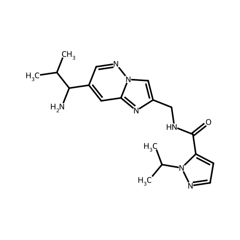 CC(C)C(N)c1cnn2cc(CNC(=O)c3ccnn3C(C)C)nc2c1